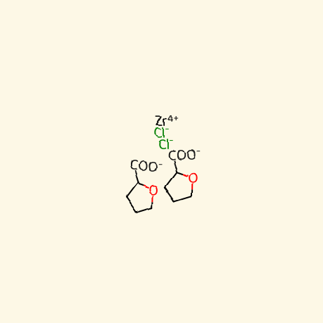 O=C([O-])C1CCCO1.O=C([O-])C1CCCO1.[Cl-].[Cl-].[Zr+4]